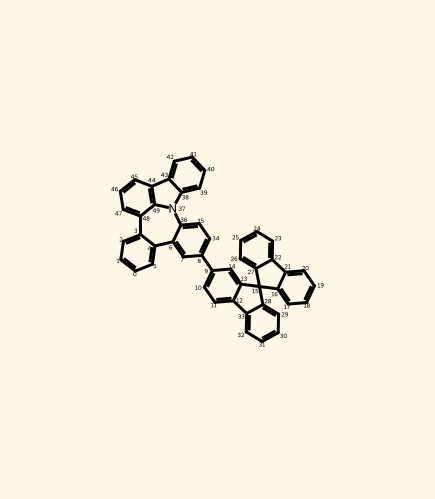 c1ccc2c(c1)-c1cc(-c3ccc4c(c3)C3(c5ccccc5-c5ccccc53)c3ccccc3-4)ccc1-n1c3ccccc3c3cccc-2c31